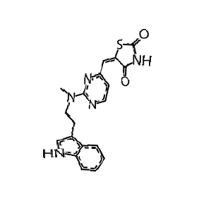 CN(CCc1c[nH]c2ccccc12)c1nccc(C=C2SC(=O)NC2=O)n1